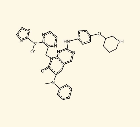 CN(c1ccccc1)c1cc2cnc(Nc3ccc(OC4CCCNC4)cc3)nc2n(Cc2nccnc2[S+]([O-])c2nccs2)c1=O